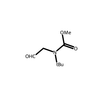 COC(=O)N(CC=O)C(C)(C)C